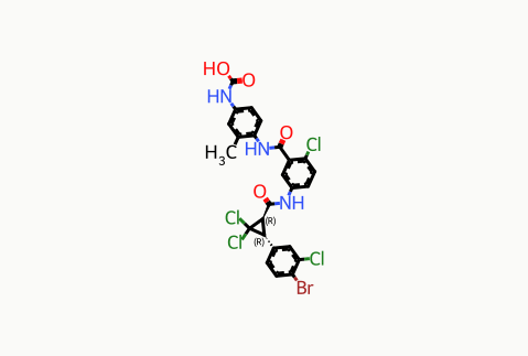 Cc1cc(NC(=O)O)ccc1NC(=O)c1cc(NC(=O)[C@H]2[C@H](c3ccc(Br)c(Cl)c3)C2(Cl)Cl)ccc1Cl